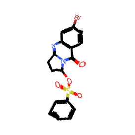 O=c1c2ccc(Br)cc2nc2n1C(OS(=O)(=O)c1ccccc1)CC2